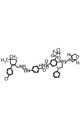 CC1(C)CCC(CNCCNc2ccc(C(=O)NS(=O)(=O)c3ccc(N[C@H](CCN4C[C@@H]5C[C@H]4CO5)CSc4ccccc4)c(S(=O)(=O)C(F)(F)Cl)c3)cc2)=C(c2ccc(Cl)cc2)C1